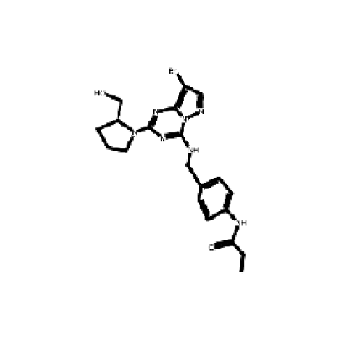 CCC(=O)Nc1ccc(CNc2nc(N3CCC[C@H]3CO)nc3c(Br)cnn23)cc1